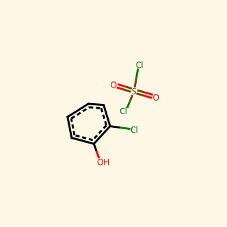 O=S(=O)(Cl)Cl.Oc1ccccc1Cl